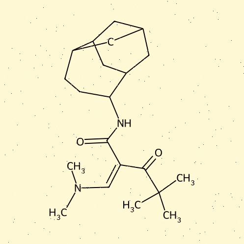 CN(C)/C=C(\C(=O)NC1CCC2CC3CC2CC1C3)C(=O)C(C)(C)C